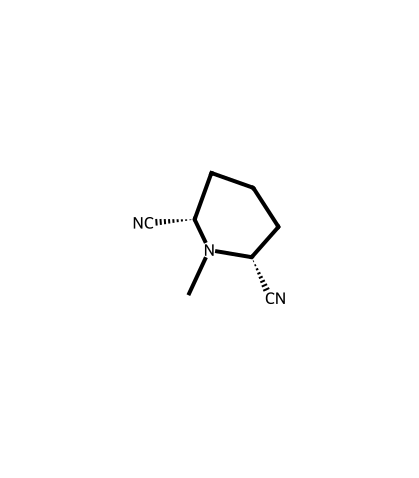 CN1[C@H](C#N)CCC[C@@H]1C#N